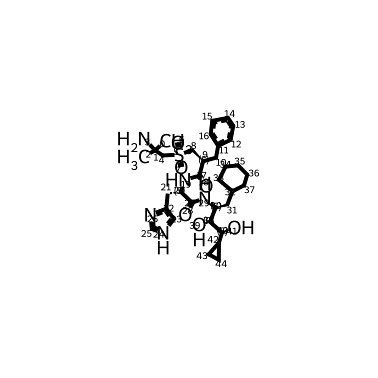 CC(C)(N)CS(=O)(=O)C[C@@H](Cc1ccccc1)C(=O)N[C@@H](Cc1c[nH]cn1)C(=O)N[C@@H](CC1CCCCC1)[C@@H](O)[C@@H](O)C1CC1